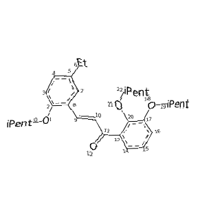 CCCC(C)Oc1ccc(CC)cc1C=CC(=O)c1cccc(OC(C)CCC)c1OC(C)CCC